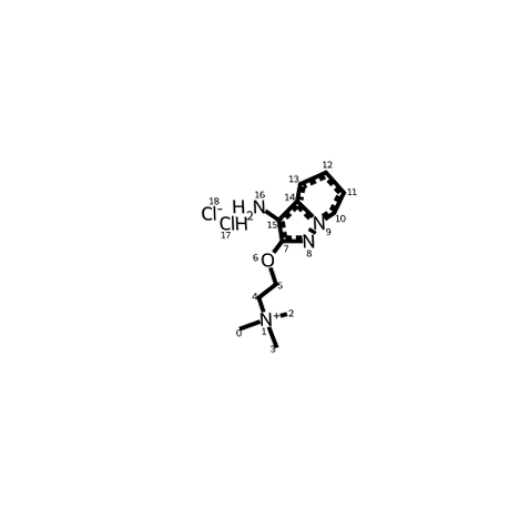 C[N+](C)(C)CCOc1nn2ccccc2c1N.Cl.[Cl-]